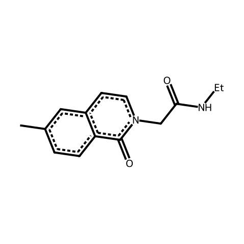 CCNC(=O)Cn1ccc2cc(C)ccc2c1=O